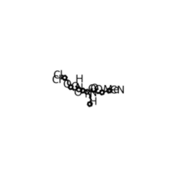 COC(=O)[C@@H](Cc1ccc(-c2ccc(C#N)cc2)cc1)NC(=O)[C@@H]1Cc2cc3c(cc2CN1CCCc1ccccc1)O[C@H](Cc1ccc(OCc2ccc(Cl)c(Cl)c2)cc1)C(=O)N3